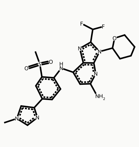 Cn1cnc(-c2ccc(Nc3cc(N)nc4c3nc(C(F)F)n4C3CCCCO3)c(S(C)(=O)=O)c2)c1